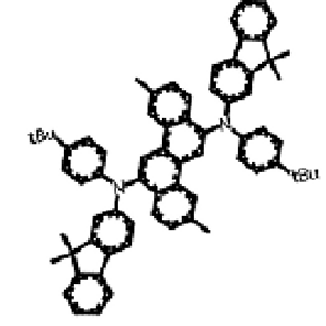 Cc1ccc2c(N(c3ccc(C(C)(C)C)cc3)c3ccc4c(c3)C(C)(C)c3ccccc3-4)cc3c4cc(C)ccc4c(N(c4ccc(C(C)(C)C)cc4)c4ccc5c(c4)C(C)(C)c4ccccc4-5)cc3c2c1